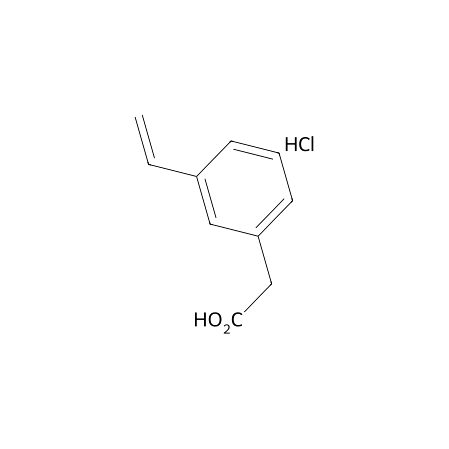 C=Cc1cccc(CC(=O)O)c1.Cl